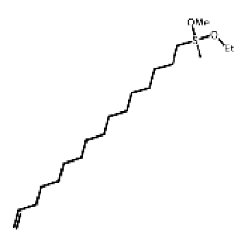 C=CCCCCCCCCCCCCCC[Si](C)(OC)OCC